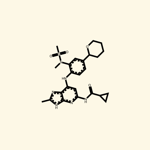 Cc1nc2c(Nc3ccc(C4CCCCO4)cc3N(C)S(C)(=O)=O)cc(NC(=O)C3CC3)nc2[nH]1